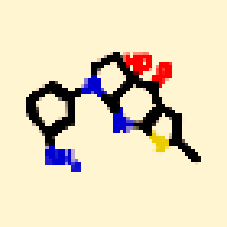 Cc1cc2c(s1)N=C1N(c3cccc(N)c3)CCC1(O)C2=O